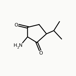 CC(C)C1CC(=O)C(N)C1=O